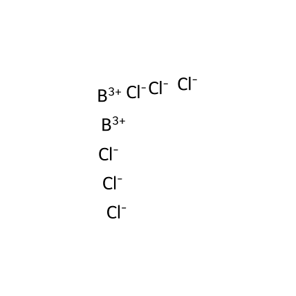 [B+3].[B+3].[Cl-].[Cl-].[Cl-].[Cl-].[Cl-].[Cl-]